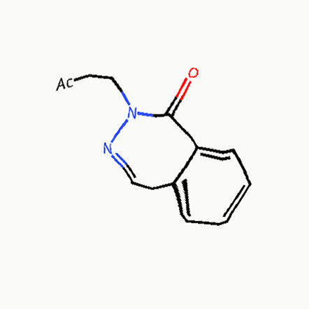 CC(=O)Cn1ncc2ccccc2c1=O